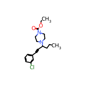 CCCC(C#Cc1cccc(Cl)c1)N1CCN(C(=O)OCC)CC1